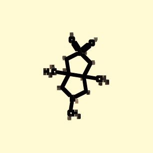 CN1CC2(C)CS(=O)(=O)CC2(C)C1